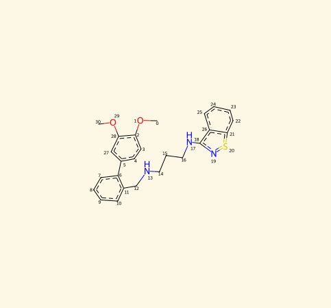 COc1ccc(-c2ccccc2CNCCCNc2nsc3ccccc23)cc1OC